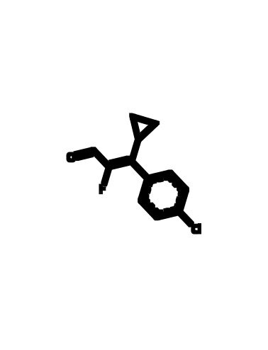 O=C/C(F)=C(/c1ccc(Cl)cc1)C1CC1